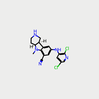 CN1c2c(C#N)cc(Nc3cc(Cl)cnc3Cl)cc2[C@@H]2CNCC[C@@H]21